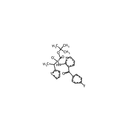 CC(c1cccs1)[N+]([O-])(Nc1ncccc1C(=O)c1ccc(F)cc1)C(=O)OC(C)(C)C